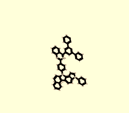 c1ccc(-c2cc(-c3ccccc3)cc(-c3nc(-c4ccc(-n5c6ccc7ccccc7c6c6ccc7c(ccn7-c7ccccc7)c65)cc4)nc4ccccc34)c2)cc1